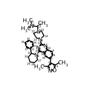 Cc1noc(C)c1-c1ccc2nc(N3CCN(C(C)N(C)C)CC3)nc(N3CCCCC3c3ccccc3)c2c1